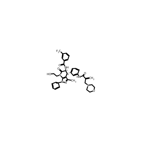 C=C(CN1CCOCC1)C(=O)Nc1cccc([C@@H]2c3c(C)nn(-c4ccccc4)c3N(CCO)C(=O)[C@H]2NC(=O)c2cccc(C(F)(F)F)c2)c1